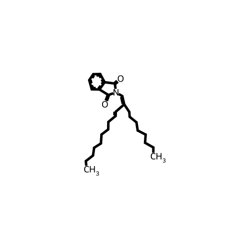 CCCCCCCCC=CC(=CN1C(=O)c2ccccc2C1=O)CCCCCCCC